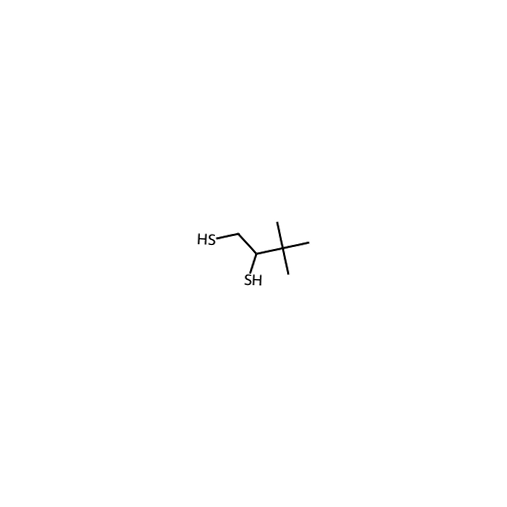 CC(C)(C)C(S)CS